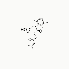 CC(C)=CC(=O)SCC(=O)N(CC(=O)O)c1c(C)ccc(C)c1C